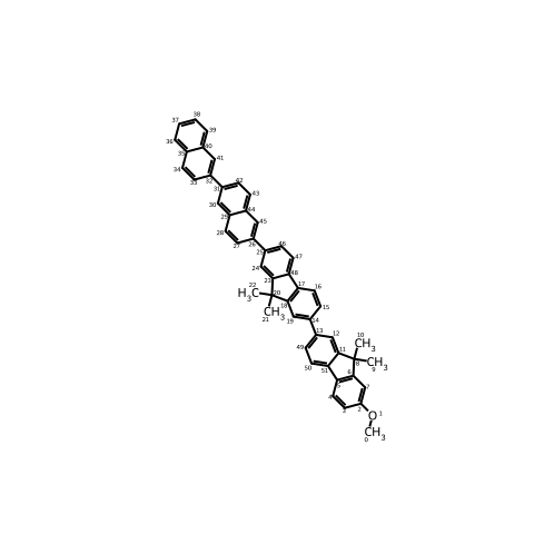 COc1ccc2c(c1)C(C)(C)c1cc(-c3ccc4c(c3)C(C)(C)c3cc(-c5ccc6cc(-c7ccc8ccccc8c7)ccc6c5)ccc3-4)ccc1-2